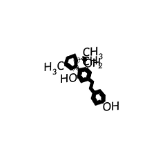 C=C(C)[C@H]1CCC(C)=C[C@@H]1c1c(O)cc(CCc2ccc(O)cc2)cc1O